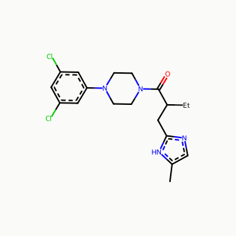 CCC(Cc1ncc(C)[nH]1)C(=O)N1CCN(c2cc(Cl)cc(Cl)c2)CC1